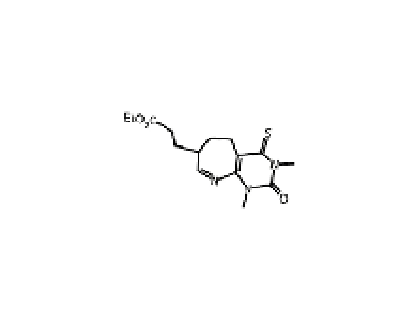 CCOC(=O)CCC1C=Nc2c(c(=S)n(C)c(=O)n2C)CC1